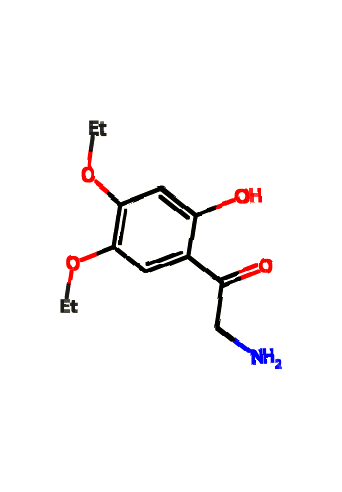 CCOc1cc(O)c(C(=O)CN)cc1OCC